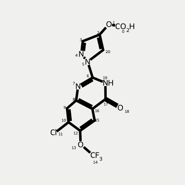 O=C(O)Oc1cnn(-c2nc3cc(Cl)c(OC(F)(F)F)cc3c(=O)[nH]2)c1